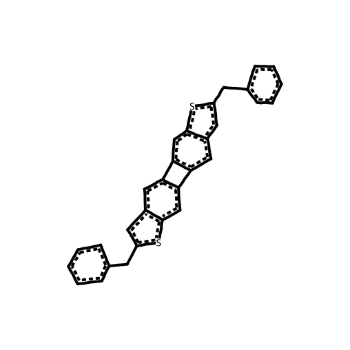 c1ccc(Cc2cc3cc4c(cc3s2)-c2cc3cc(Cc5ccccc5)sc3cc2-4)cc1